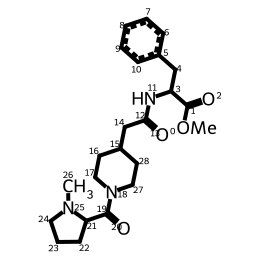 COC(=O)C(Cc1ccccc1)NC(=O)CC1CCN(C(=O)C2CCCN2C)CC1